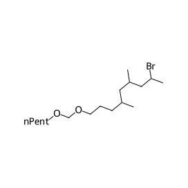 CCCCCOCOCCCC(C)CC(C)CC(C)Br